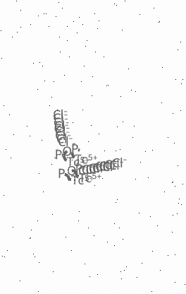 CP(C)C([CH2][Tc+5])OC([CH2][Tc+5])P(C)C.CP(C)C([CH2][Tc+5])OC([CH2][Tc+5])P(C)C.[Cl-].[Cl-].[Cl-].[Cl-].[Cl-].[Cl-].[Cl-].[Cl-].[Cl-].[Cl-].[Cl-].[Cl-].[Cl-].[Cl-].[Cl-].[Cl-].[Cl-].[Cl-].[Cl-].[Cl-]